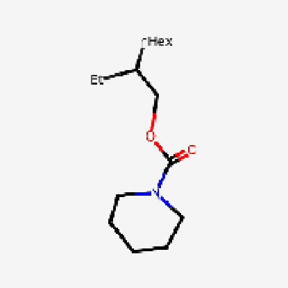 CCCCCCC(CC)COC(=O)N1CCCCC1